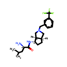 CC(C)C[C@@H](N)C(=O)N[C@H]1CC[C@@H]2CN(Cc3cccc(C(F)(F)F)c3)C[C@@H]21